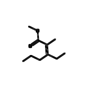 CCCC(CC)=C(C)C(=O)OC